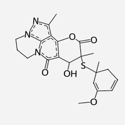 COC1=CC(C)(SC2(C)C(=O)Oc3c(c(=O)n4c5c3c(C)nn5CCC4)C2O)CC=C1